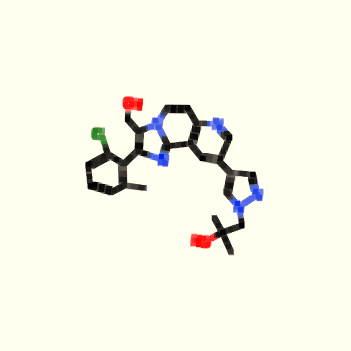 Cc1cccc(Cl)c1-c1nc2c3cc(-c4cnn(CC(C)(C)O)c4)cnc3ccn2c1CO